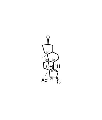 CC(=O)[C@H]1C(=O)C=C2[C@@H]3CCC4CC(=O)CC[C@]4(C)[C@@]3(O)CC[C@@]21C